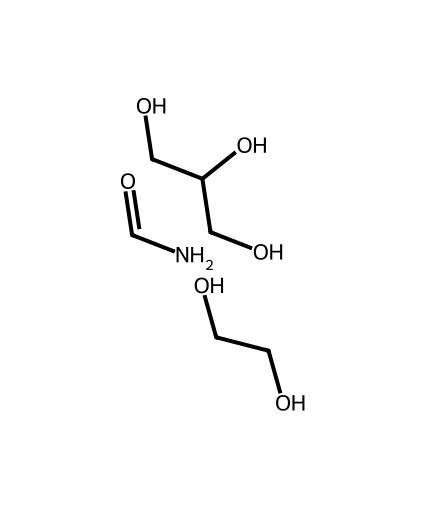 NC=O.OCC(O)CO.OCCO